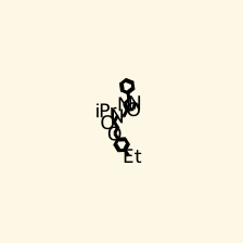 CCc1ccc(OCC(=O)N(Cc2nc(-c3ccccc3)no2)C(C)C)cc1